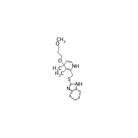 COCCCOC1(C)C=CNC(CSc2nc3ccccc3[nH]2)=C1C